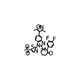 Cc1noc(C)c1-c1ccc2c(c1)nc([C@@H]1CCCC(=O)N1c1ccc(F)c(F)c1)n2-c1ncc(S(C)(=O)=O)s1